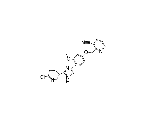 COc1cc(OCc2ncccc2C#N)ccc1-c1c[nH]c(C2C=CC(Cl)=NC2)n1